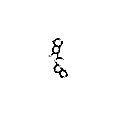 O=C(Oc1ccc2ccccc2c1)c1cc2ccccc2cc1O